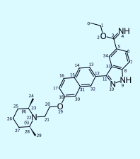 CCOC(=N)c1ccc2[nH]nc(-c3ccc4ccc(OCCN5[C@H](C)CCC[C@@H]5C)cc4c3)c2c1